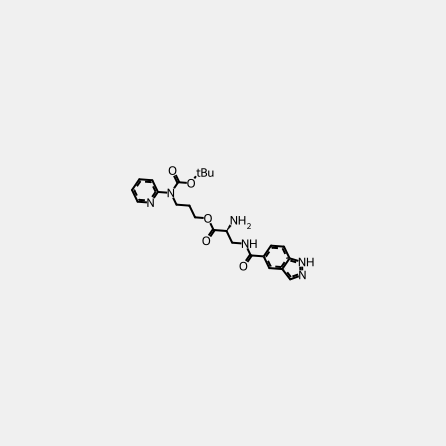 CC(C)(C)OC(=O)N(CCCOC(=O)[C@@H](N)CNC(=O)c1ccc2[nH]ncc2c1)c1ccccn1